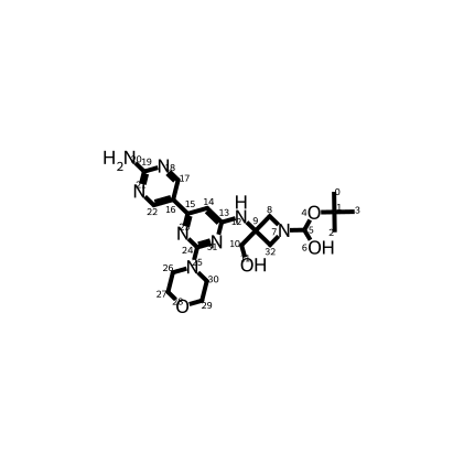 CC(C)(C)OC(O)N1CC(CO)(Nc2cc(-c3cnc(N)nc3)nc(N3CCOCC3)n2)C1